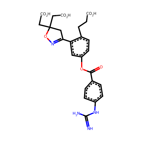 N=C(N)Nc1ccc(C(=O)Oc2ccc(CCC(=O)O)c(C3=NOC(CC(=O)O)(CC(=O)O)C3)c2)cc1